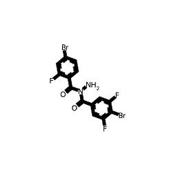 NN(C(=O)c1cc(F)c(Br)c(F)c1)C(=O)c1ccc(Br)cc1F